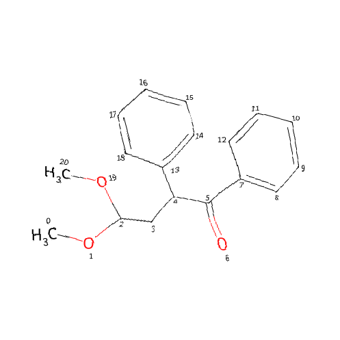 COC(CC(C(=O)c1ccccc1)c1ccccc1)OC